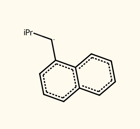 CC(C)[CH]c1cccc2ccccc12